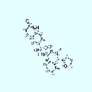 CN(Cc1ccco1)C(=O)[C@H](NS(=O)(=O)c1ccc2[nH]c(=O)ccc2c1)c1ccccc1